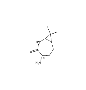 N[C@H]1CCC2C(NC1=O)C2(F)F